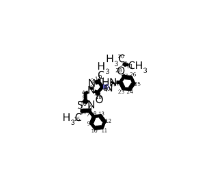 CC1=NN(Cc2nc(-c3ccccc3)c(C)s2)C(=O)/C1=N/Nc1ccccc1OC(C)C